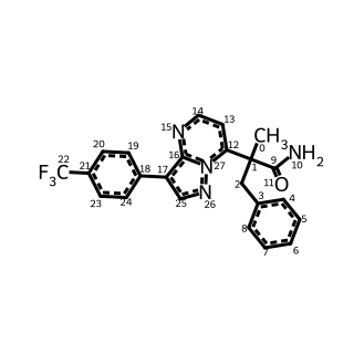 CC(Cc1ccccc1)(C(N)=O)c1ccnc2c(-c3ccc(C(F)(F)F)cc3)cnn12